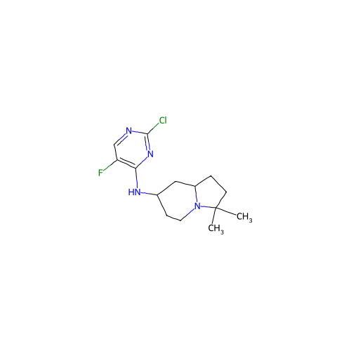 CC1(C)CCC2CC(Nc3nc(Cl)ncc3F)CCN21